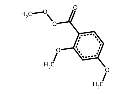 [CH2]OOC(=O)c1ccc(OC)cc1OC